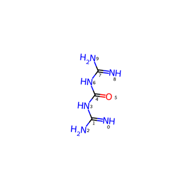 N=C(N)NC(=O)NC(=N)N